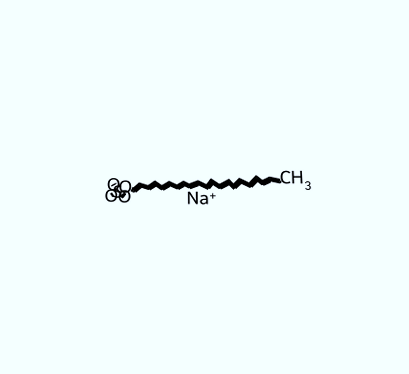 CCC=CC=CC=CC=CC=CC=CC=CC=CC=CC=COS(=O)(=O)[O-].[Na+]